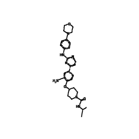 CC(C)NC(=O)N1CCC(Oc2ccc(-c3ccnc(Nc4ccc(N5CCOCC5)cc4)n3)cc2N)CC1